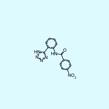 O=C(Nc1ccccc1-c1nnn[nH]1)c1ccc([N+](=O)[O-])cc1